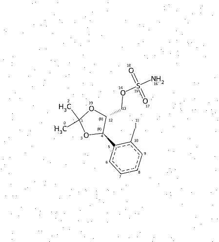 CC1(C)O[C@H](c2ccccc2I)[C@@H](COS(N)(=O)=O)O1